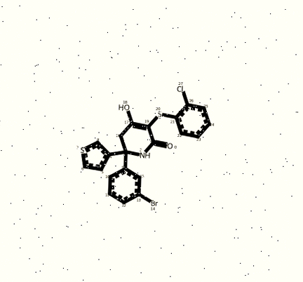 O=C1NC(c2ccsc2)(c2cccc(Br)c2)CC(O)=C1Sc1ccccc1Cl